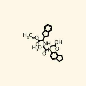 CCOC(=O)C(N[C@@H](C)C(=O)N(CC(=O)O)c1ccc2c(c1)CCC2)C1Cc2ccccc2C1